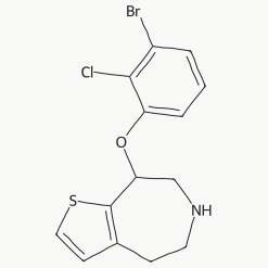 Clc1c(Br)cccc1OC1CNCCc2ccsc21